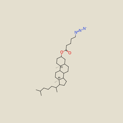 CC(C)CCCC(C)C1CCC2C3CCC4CC(OC(=O)CCCCN=[N+]=[N-])CC[C@]4(C)C3CC[C@]12C